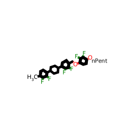 CCCCCOc1ccc(OCc2ccc(C3CCC(c4ccc(C)c(F)c4F)CC3)c(F)c2F)c(F)c1F